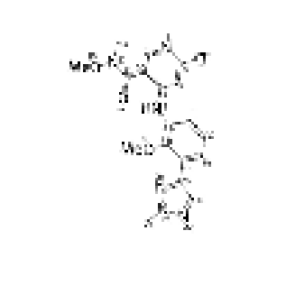 COc1c(Nc2cc(Cl)ncc2C(=O)N(C)OC)cccc1-c1cnn(C)n1